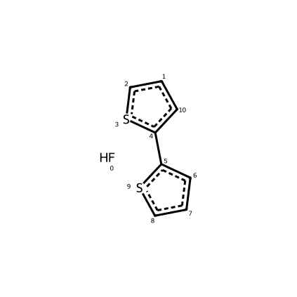 F.c1csc(-c2cccs2)c1